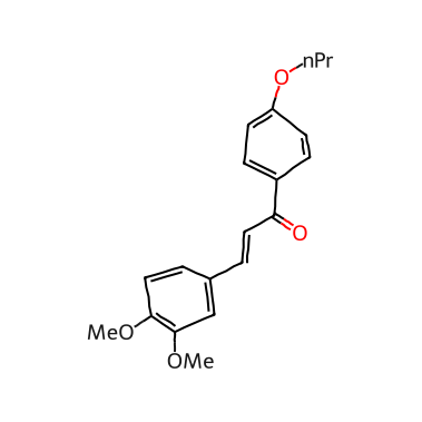 CCCOc1ccc(C(=O)C=Cc2ccc(OC)c(OC)c2)cc1